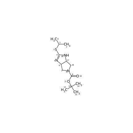 CC(C)SC1=NC2CN(C(=O)OC(C)(C)C)CC2N1